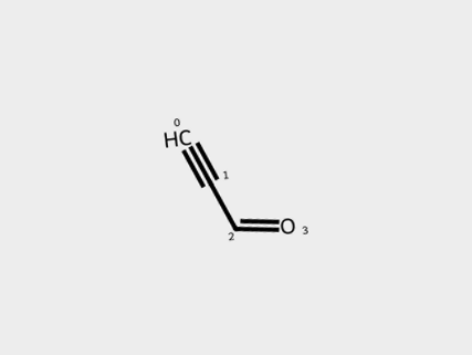 C#CC=O